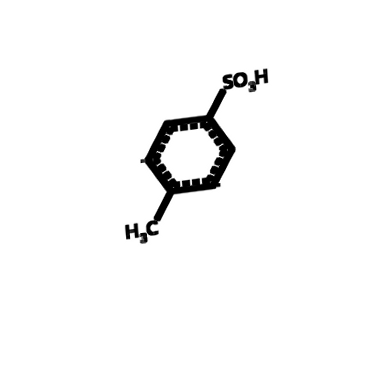 Cc1[c]cc(S(=O)(=O)O)c[c]1